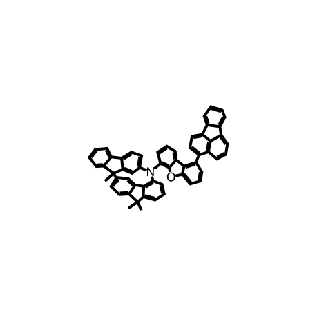 CC1(C)c2ccccc2-c2ccc(N(c3cccc4c3-c3ccccc3C4(C)C)c3cccc4c3oc3cccc(-c5ccc6c7c(cccc57)-c5ccccc5-6)c34)cc21